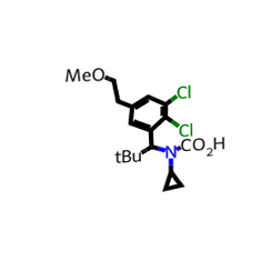 COCCc1cc(Cl)c(Cl)c(C(N(C(=O)O)C2CC2)C(C)(C)C)c1